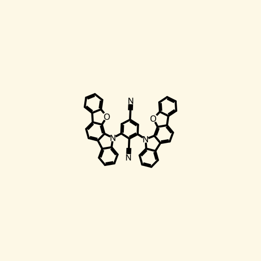 N#Cc1cc(-n2c3ccccc3c3ccc4c5ccccc5oc4c32)c(C#N)c(-n2c3ccccc3c3ccc4c5ccccc5oc4c32)c1